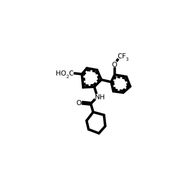 O=C(O)c1ccc(-c2ccccc2OC(F)(F)F)c(NC(=O)C2CCCCC2)c1